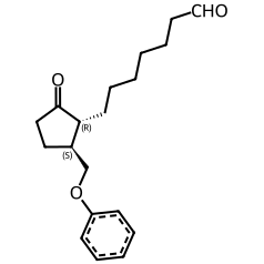 O=CCCCCCC[C@H]1C(=O)CC[C@@H]1COc1ccccc1